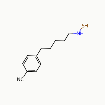 N#Cc1ccc(CCCCCNS)cc1